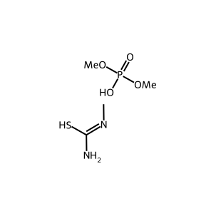 CN=C(N)S.COP(=O)(O)OC